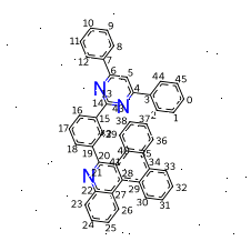 c1ccc(-c2cc(-c3ccccc3)nc(-c3cccc(-c4nc5ccccc5c5c6ccccc6c6ccccc6c45)c3)n2)cc1